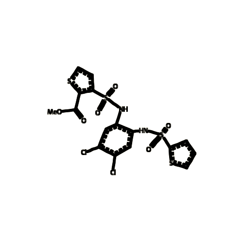 COC(=O)c1sccc1S(=O)(=O)Nc1cc(Cl)c(Cl)cc1NS(=O)(=O)c1cccs1